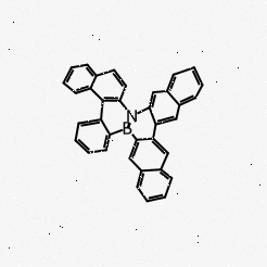 c1ccc2c(c1)B1c3cc4ccccc4cc3-c3cc4ccccc4cc3N1c1ccc3ccccc3c1-2